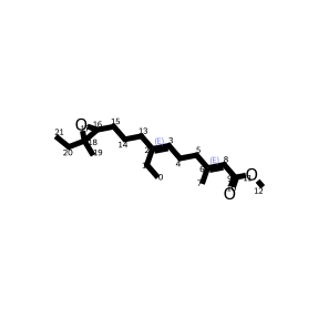 CC/C(=C\CC/C(C)=C/C(=O)OC)CCCC1OC1(C)CC